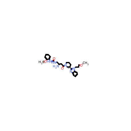 COCCCn1c([C@@H]2CCCN(C(=O)C[C@@H](N)CNC(=O)Nc3ccccc3OC)C2)nc2ccccc21